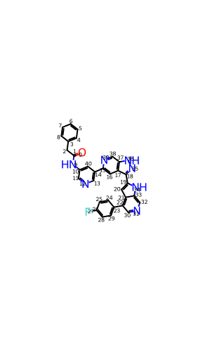 O=C(Cc1ccccc1)Nc1cncc(-c2cc3c(-c4cc5c(-c6ccc(F)cc6)cncc5[nH]4)n[nH]c3cn2)c1